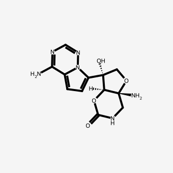 Nc1ncnn2c([C@@]3(O)CO[C@]4(N)CNC(=O)O[C@H]43)ccc12